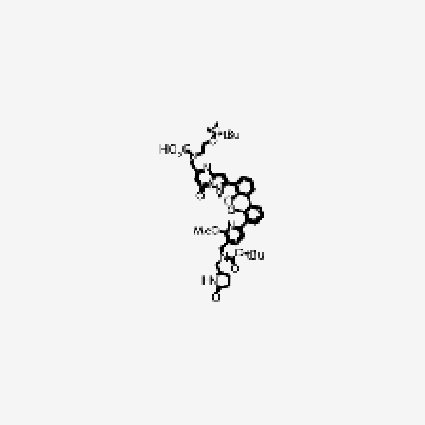 COc1nc(-c2cccc(-c3cccc(-c4cc5nc(CN(CCO[Si](C)(C)C(C)(C)C)C(=O)O)cc(=O)n5n4C)c3Cl)c2Cl)ccc1CN(CC1CCC(=O)N1)C(=O)OC(C)(C)C